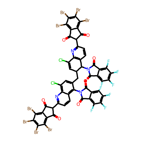 O=C1c2c(Br)c(Br)c(Br)c(Br)c2C(=O)C1c1ccc2c(n1)C(Cl)=CC(Cc1cc(Cl)c3nc(C4C(=O)c5c(Br)c(Br)c(Br)c(Br)c5C4=O)ccc3c1N1C(=O)c3c(F)c(F)c(F)c(F)c3C1=O)C2N1C(=O)c2c(F)c(F)c(F)c(F)c2C1=O